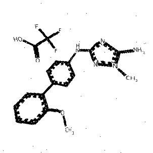 COc1ccccc1-c1ccc(Nc2nc(N)n(C)n2)cc1.O=C(O)C(F)(F)F